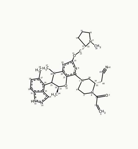 C=CC(=O)N1CCN(c2nc(OC[C@@H]3CCCN3C)nc3c2O[C@@H](C)C(c2c(C)ccc4[nH]ncc24)N3C)C[C@@H]1CC#N